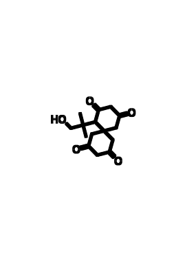 CC(C)(CO)C1C(=O)CC(=O)CC12CC(=O)CC(=O)C2